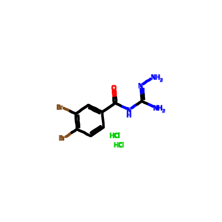 Cl.Cl.NN=C(N)NC(=O)c1ccc(Br)c(Br)c1